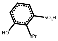 CCCc1c(O)cccc1S(=O)(=O)O